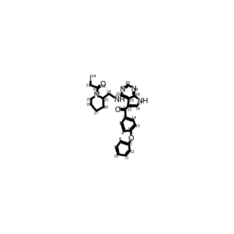 O=C(c1ccc(Oc2ccccc2)cc1)c1c[nH]c2ncnc(NCC3CCCCN3C(=O)CI)c12